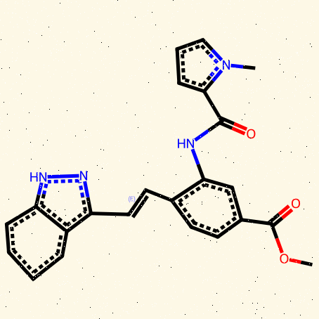 COC(=O)c1ccc(/C=C/c2n[nH]c3ccccc23)c(NC(=O)c2cccn2C)c1